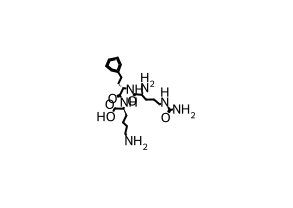 NCCCC[C@H](NC(=O)[C@H](CCc1ccccc1)NC(=O)[C@@H](N)CCCNC(N)=O)C(=O)O